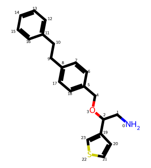 NCC(OCc1ccc(CCc2ccccc2)cc1)c1ccsc1